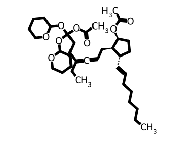 CCCCCCC=C[C@H]1CC[C@H](OC(C)=O)[C@@H]1CC=C=C(CC)CCC(OC(C)=O)(OC1CCCCO1)OC1CCCCO1